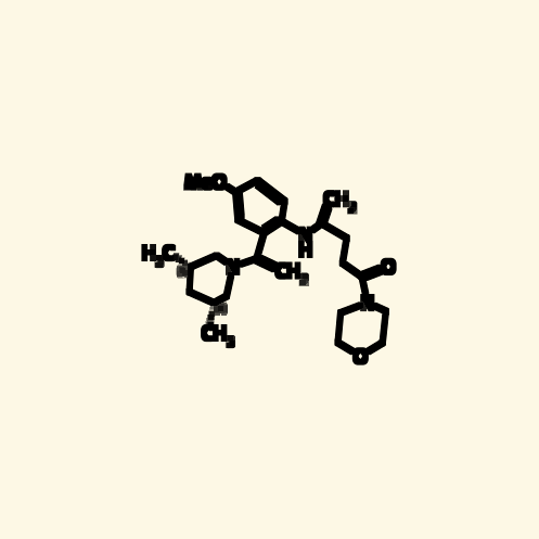 C=C(CCC(=O)N1CCOCC1)Nc1ccc(OC)cc1C(=C)N1C[C@H](C)C[C@H](C)C1